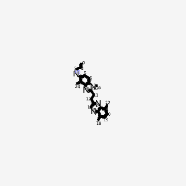 C=C/C=N\c1ccc2c(nc(CCc3cnc4c(C)ccc(C)c4n3)n2C)c1C